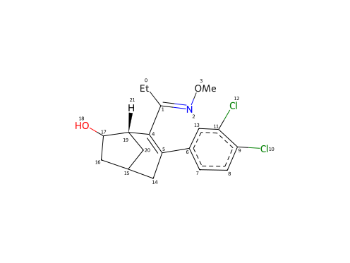 CCC(=NOC)C1=C(c2ccc(Cl)c(Cl)c2)CC2CC(O)[C@H]1C2